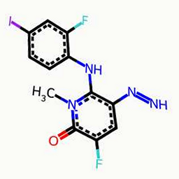 Cn1c(Nc2ccc(I)cc2F)c(N=N)cc(F)c1=O